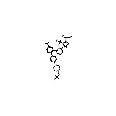 O=C(O)c1cnn(-c2cccc(-c3cc(C(F)F)ccc3-c3ccc(N4CCN(CC(F)(F)F)CC4)cc3)n2)c1C(F)(F)F